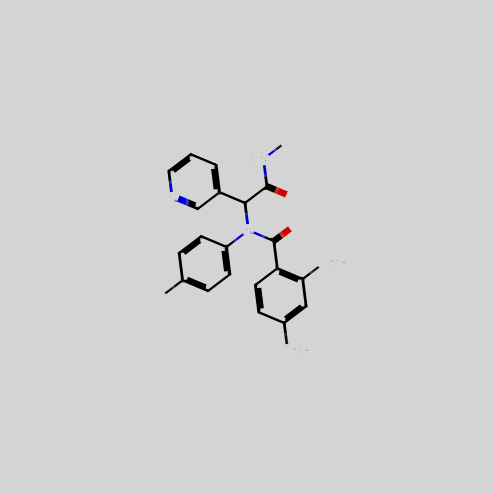 COc1ccc(C(=O)N(c2ccc(C(C)(C)C)cc2)C(C(=O)NC(C)(C)C)c2cccnc2)c(OC)c1